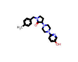 Cc1ccc(CN2CCC(N3CCN(c4ccc(O)cn4)CC3)C2=O)cc1